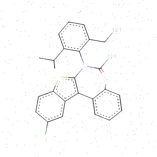 CC(C)c1cccc(CN)c1N(C(N)=O)c1sc2ccc(Cl)cc2c1-c1ccccc1Cl